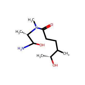 CC(CCC(=O)N(C)[C@@H](C)C(N)O)[C@@H](C)O